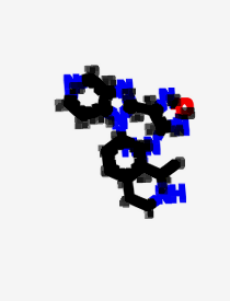 CC1NCCc2ccc(-n3c(-c4nonc4N)nc4cnccc43)cc21